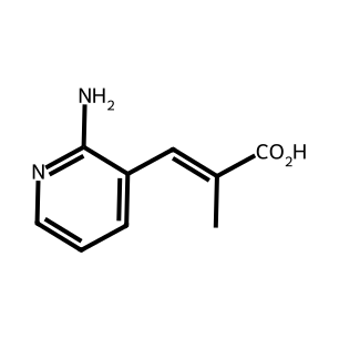 C/C(=C\c1cccnc1N)C(=O)O